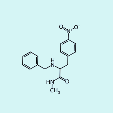 CNC(=O)C(Cc1ccc([N+](=O)[O-])cc1)NCc1ccccc1